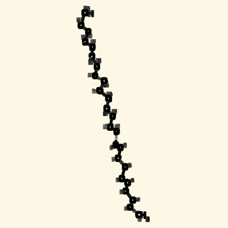 COOOOOOOOOOOOOOOOOOOOOOOO